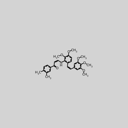 COc1cc(/C=C\c2ccc(OC)c(OC)c2N/C=C\C(=O)c2ccc(C)c(C)c2)cc(OC)c1OC